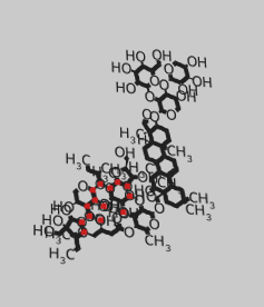 CC[C@H](C)[C@H](C[C@H](O)CC(=O)O[C@H]1C(C)O[C@@H](OC(=O)[C@]23CCC(C)(C)CC2C2=CCC4C5(C)CC[C@H](O[C@@H]6OC[C@@H](O)[C@H](O[C@@H]7OC[C@@H](O)[C@H](O)C7O)C6O[C@@H]6OC(CO)[C@H](O)[C@H](O)C6O)[C@](C)(C=O)[C@@H]5CC[C@]4(C)[C@]2(C)CC3O)C(O[C@@H]2OC(C)[C@H](O[C@@H]3OC[C@@H](O)C(O[C@@H]4OC[C@](O)(CO)C4O)C3O)C(O)C2O)C1O)OC(=O)C[C@@H](O)C[C@H](O[C@@H]1O[C@@H](CO)C(O)C1O)[C@@H](C)CC